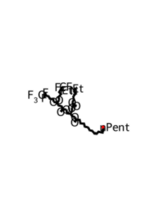 CCCCC/C=C\C/C=C\CCCCCCCC(=O)OCC(COC(=O)CCC(OCCCC(F)(F)C(F)(F)F)OCCCC(F)(F)C(F)(F)F)COC(=O)OCCCN(CC)CC